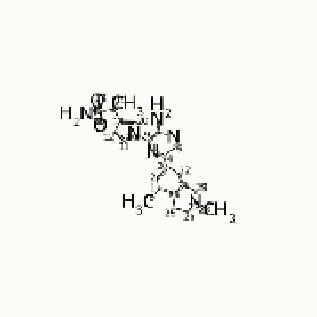 Cc1cc(-c2cnc(N)c(-n3ccc(C(C)S(N)(=O)=O)c3)n2)cc2c1CCN(C)C2